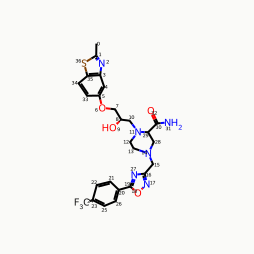 Cc1nc2cc(OC[C@H](O)CN3CCN(Cc4noc(-c5ccc(C(F)(F)F)cc5)n4)CC3C(N)=O)ccc2s1